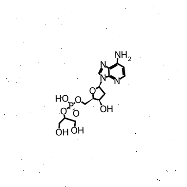 Nc1ccnc2c1ncn2[C@H]1C[C@@H](O)[C@@H](COP(=O)(O)OC(CO)CO)O1